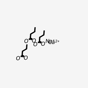 CCCC(=O)[O-].CCCC(=O)[O-].CCCC(=O)[O-].[Ca+2].[Na+]